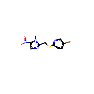 Cn1c([N+](=O)[O-])cnc1CSc1ccc(Br)cn1